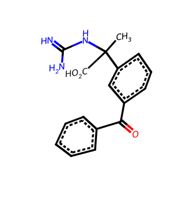 CC(NC(=N)N)(C(=O)O)c1cccc(C(=O)c2ccccc2)c1